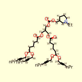 CCCC#CCOC(CCCCC(=O)OCC(COC(=O)CCCCC(OCC#CCCC)OCC#CCCC)COC(=O)OCC1CCCN(CC)C1)OCC#CCCC